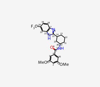 COc1cc(OC)cc(C(=O)N[C@@H]2CCCC(c3nc4ccc(C(F)(F)F)cc4[nH]3)C2)c1